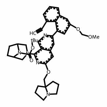 C#Cc1cccc2cc(OCOC)cc(-c3cc4cc(OCC56CCCN5CCC6)nc(N5CC6CCC(C5)N6C(=O)OC(C)(C)C)c4cn3)c12